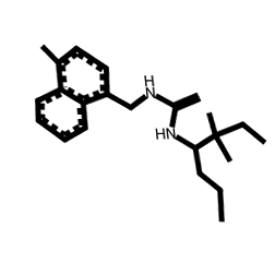 C=C(NCc1ccc(C)c2ccccc12)NC(CCC)C(C)(C)CC